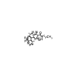 CCCNC(=O)c1c(N)c2ccc(F)c(-c3cncnc3C(F)(F)F)c2c[n+]1[O-]